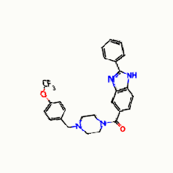 O=C(c1ccc2[nH]c(-c3ccccc3)nc2c1)N1CCN(Cc2ccc(OC(F)(F)F)cc2)CC1